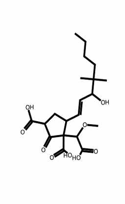 CCCCC(C)(C)C(O)/C=C/C1CC(C(=O)O)C(=O)C1(C(=O)O)C(OC)C(=O)O